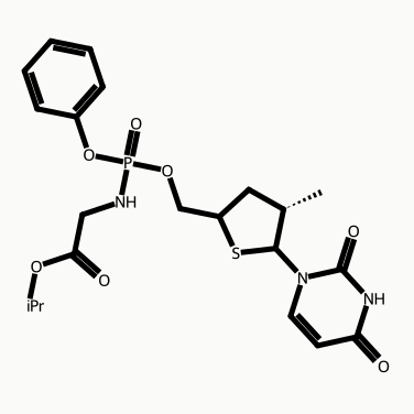 CC(C)OC(=O)CNP(=O)(OCC1C[C@H](C)C(n2ccc(=O)[nH]c2=O)S1)Oc1ccccc1